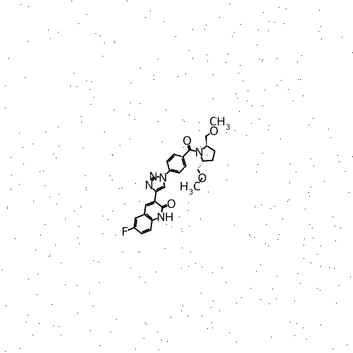 COC[C@H]1CC[C@H](COC)N1C(=O)c1ccc(-n2cc(-c3cc4cc(F)ccc4[nH]c3=O)nn2)cc1